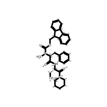 CN(C(=O)OCC1c2ccccc2-c2ccccc21)[C@@H](Cc1ccccc1)C(=O)N[C@@H](CC(=O)O)C(=O)N1CCCCC1